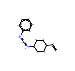 C=CC1CCC(N=C=Nc2ccccc2)CC1